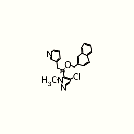 Cn1ncc(Cl)c1[C@@H](Cc1cccnc1)OCc1ccc2ccccc2c1